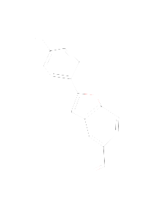 Cc1ccc(-c2cc3cc(C=O)ccc3o2)cc1